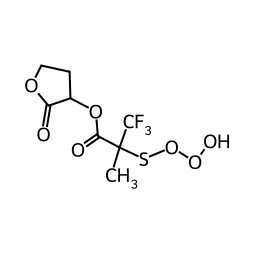 CC(SOOO)(C(=O)OC1CCOC1=O)C(F)(F)F